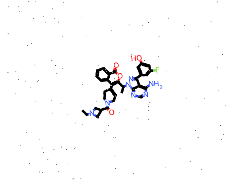 CCN1CC(C(=O)N2CC=C(c3c(C(C)n4nc(-c5cc(O)cc(F)c5)c5c(N)ncnc54)oc(=O)c4ccccc34)CC2)C1